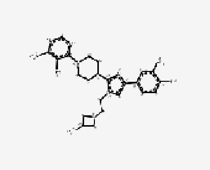 CCc1c(N)ncnc1N1CCC(c2nc(-c3ccc(F)c(C)c3)cn2CCN2CC(C)C2)CC1